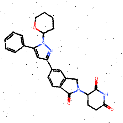 O=C1CCC(N2Cc3cc(-c4cc(-c5ccccc5)n(C5CCCCO5)n4)ccc3C2=O)C(=O)N1